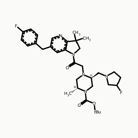 C[C@@H]1CN(CC(=O)N2CC(C)(C)c3ncc(Cc4ccc(F)cc4)cc32)[C@@H](CN2CCC(F)C2)CN1C(=O)OC(C)(C)C